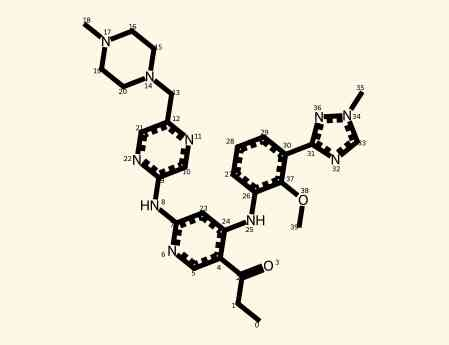 CCC(=O)c1cnc(Nc2cnc(CN3CCN(C)CC3)cn2)cc1Nc1cccc(-c2ncn(C)n2)c1OC